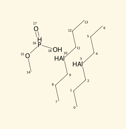 CC[CH2][AlH][CH2]CC.CC[CH2][AlH][CH2]CC.CO[PH](=O)O